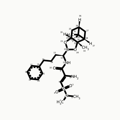 CN(C)S(=O)(=O)C=C(N)C(=O)N[C@@H](CCCc1ccccc1)B1O[C@@H]2C[C@@H]3C[C@@H](C3(C)C)[C@]2(C)O1